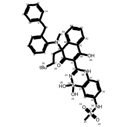 CN(c1ccccc1Cc1ccccc1)C1(CCC(C)(C)C)C(=O)C(C2=NS(O)(O)c3cc(NS(C)(=O)=O)ccc3N2)=C(O)c2ccccc21